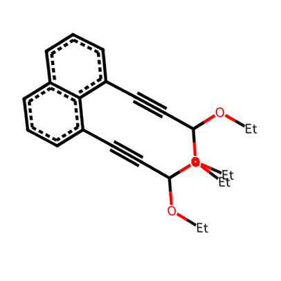 CCOC(C#Cc1cccc2cccc(C#CC(OCC)OCC)c12)OCC